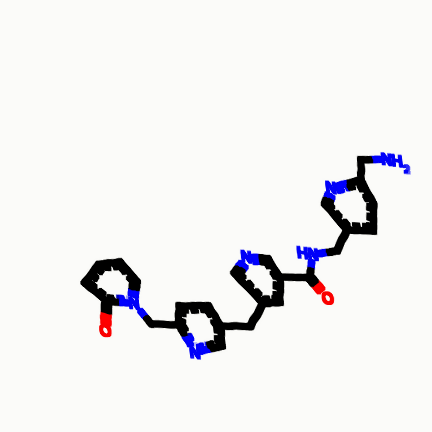 NCc1ccc(CNC(=O)c2cncc(Cc3ccc(Cn4ccccc4=O)nc3)c2)cn1